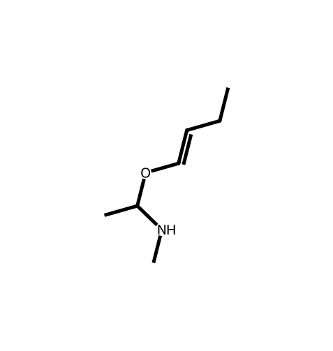 CCC=COC(C)NC